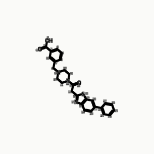 O=C(O)c1cccc(CN2CCN(C(=O)Cc3nc4ccc(-c5ccccc5)cc4s3)CC2)c1